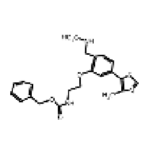 Cc1ncsc1-c1ccc(CNC(=O)O)c(OCCNC(=O)OCc2ccccc2)c1